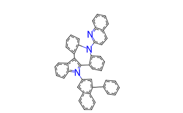 c1ccc(-c2cc(-n3c4c(c5ccccc53)-c3ccccc3N(c3ccc5ccccc5n3)c3ccccc3-4)cc3ccccc23)cc1